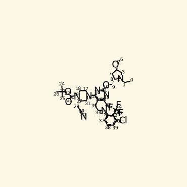 CCN1C[C@H](OC)C[C@H]1COc1nc2c(c(N3CCN(C(=O)OC(C)(C)C)[C@@H](CC#N)C3)n1)CCN(c1cccc(Cl)c1C(F)(F)F)C2